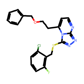 Fc1cccc(Cl)c1CSc1nnc2nccc(CCOCc3ccccc3)n12